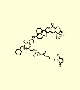 CC[C@@]1(O)C(=O)OCc2c1cc1n(c2=O)Cc2c-1nc1ccc(NC(=O)CNC(=O)C(Cc3ccccc3)NC(=O)CNC(=O)CNC(=O)CCCCCN3C(=O)C=CC3=O)c3c1c2CCC3